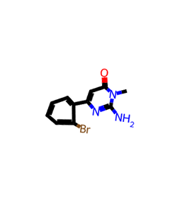 Cn1c(N)nc(-c2ccccc2Br)cc1=O